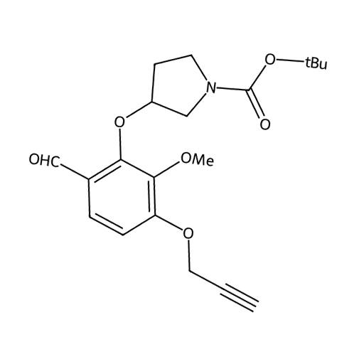 C#CCOc1ccc(C=O)c(OC2CCN(C(=O)OC(C)(C)C)C2)c1OC